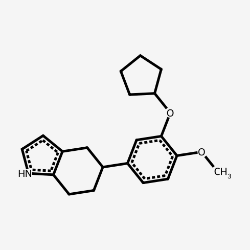 COc1ccc(C2CCc3[nH]ccc3C2)cc1OC1CCCC1